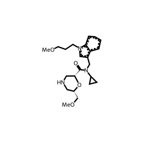 COCCCn1cc(CN(C(=O)[C@H]2CNC[C@@H](COC)O2)C2CC2)c2ccccc21